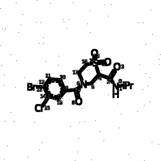 CC(C)NC(=O)C1CN(C(=O)c2ccc(Br)c(Cl)c2)CCS1(=O)=O